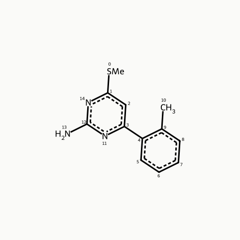 CSc1cc(-c2ccccc2C)nc(N)n1